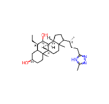 CC[C@@H]1C2C[C@H](O)CCC2(C)[C@H]2CCC3(C)C([C@H](C)CCc4nnc(C)[nH]4)CC[C@H]3[C@@H]2[C@@H]1O